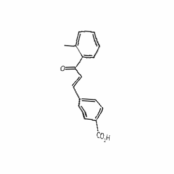 Cc1ccccc1C(=O)/C=C/c1ccc(C(=O)O)cc1